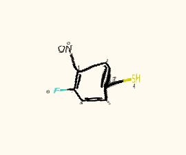 O=Nc1cc(S)ccc1F